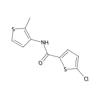 Cc1sccc1NC(=O)c1ccc(Cl)s1